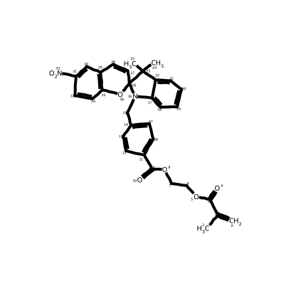 C=C(C)C(=O)OCCOC(=O)c1ccc(CN2c3ccccc3C(C)(C)C23C=Cc2cc([N+](=O)[O-])ccc2O3)cc1